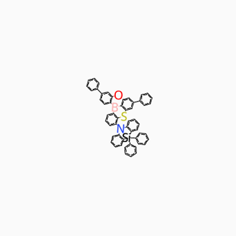 c1ccc(-c2ccc3c(c2)Oc2cc(-c4ccccc4)cc4c2B3c2cccc(N3c5ccccc5[Si](c5ccccc5)(c5ccccc5)c5ccccc53)c2S4)cc1